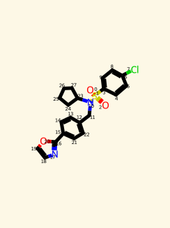 O=S(=O)(c1ccc(Cl)cc1)N(Cc1ccc(-c2ncco2)cc1)C1CCCC1